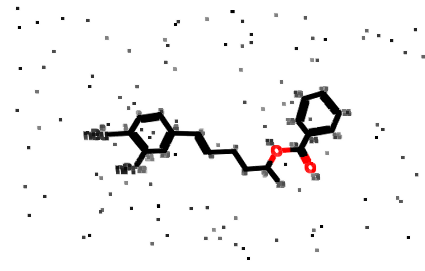 CCCCc1ccc(C=CCCC(C)OC(=O)c2ccccc2)cc1CCC